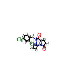 O=C(NCc1ccc(Cl)cc1Cl)C1CCC(=O)N1C1CCC1